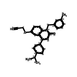 C#CCOc1ccc2c(c1)c(-c1ccc(C(C)C)cc1)nc(=O)n2Cc1cccc(C)c1